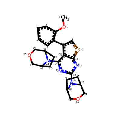 COc1ccccc1-c1csc2nc(N3C4CCC3COC4)nc(N3C4CCC3COC4)c12